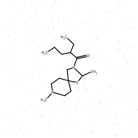 CCCC(CC)C(=O)N1CC2(CCN(C)CC2)SC1C